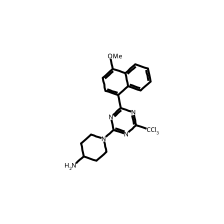 COc1ccc(-c2nc(N3CCC(N)CC3)nc(C(Cl)(Cl)Cl)n2)c2ccccc12